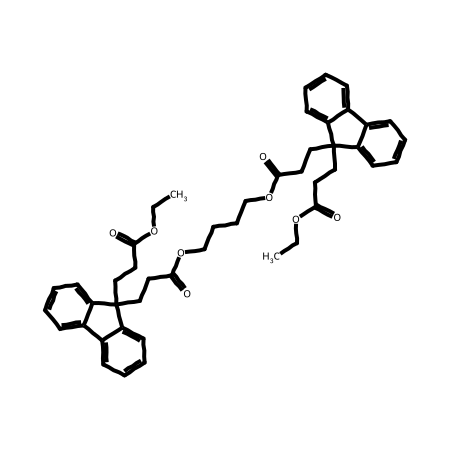 CCOC(=O)CCC1(CCC(=O)OCCCCOC(=O)CCC2(CCC(=O)OCC)c3ccccc3-c3ccccc32)c2ccccc2-c2ccccc21